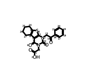 O=C(O)Cn1c(=O)c2c3c(sc2n(CC(=O)c2ccccc2)c1=O)CCCC3